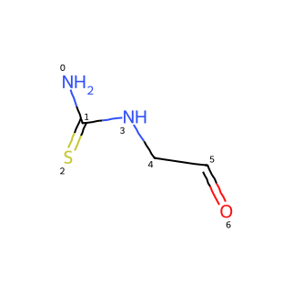 NC(=S)NCC=O